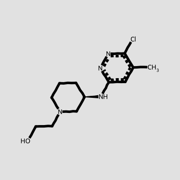 Cc1cc(N[C@@H]2CCCN(CCO)C2)nnc1Cl